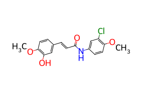 COc1ccc(C=CC(=O)Nc2ccc(OC)c(Cl)c2)cc1O